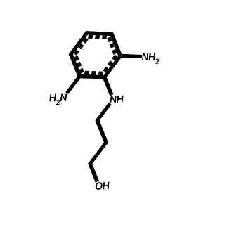 Nc1cccc(N)c1NCCCO